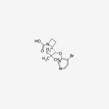 CC(C)(C)C(Oc1cnccc1Br)[C@H]1CCN1C(=O)O